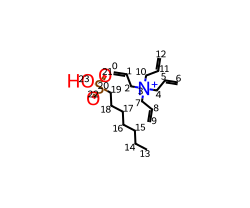 C=CC[N+](CC=C)(CC=C)CC=C.CCCCCCCS(=O)(=O)O